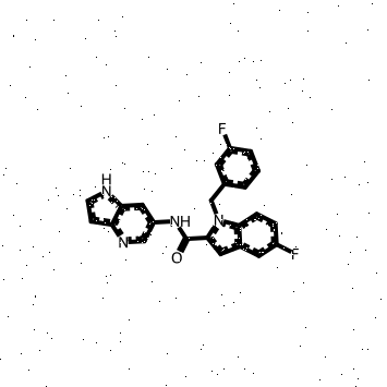 O=C(Nc1cnc2cc[nH]c2c1)c1cc2cc(F)ccc2n1Cc1cccc(F)c1